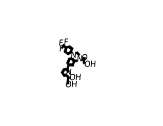 O=C(CO)N1CCN(c2ccc(C(F)(F)F)cc2)c2ccc(-c3cccc(C(O)CO)n3)cc2C1